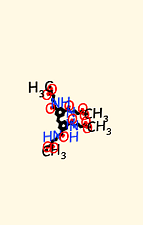 COC(=O)CCNC(=O)c1cc(Cc2cc(C(=O)NCCC(=O)OC)cc(C(=O)NCCC(=O)OC)c2)cc(C(=O)NCCC(=O)OC)c1